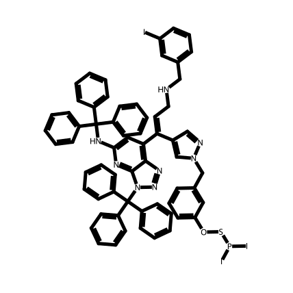 Ic1cccc(CNC/C=C(\c2cnn(Cc3cccc(OSP(I)I)c3)c2)c2cc(NC(c3ccccc3)(c3ccccc3)c3ccccc3)nc3c2nnn3C(c2ccccc2)(c2ccccc2)c2ccccc2)c1